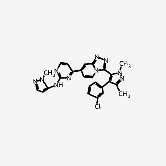 Cc1nn(C)c(-c2nnc3cc(-c4ccnc(Nc5ccnn5C)n4)ccn23)c1-c1cccc(Cl)c1